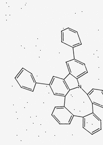 c1ccc(-c2ccc3c(c2)c2cc(-c4ccccc4)cc4c5ccccc5c5ccccc5c5ccccc5n3c42)cc1